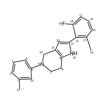 Cc1cccc(N2CCc3[nH]c(-c4c(C)cccc4F)cc3C2)c1